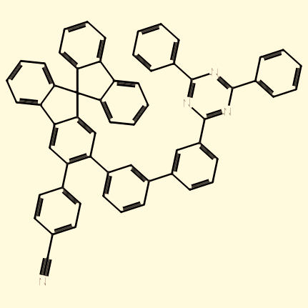 N#Cc1ccc(-c2cc3c(cc2-c2cccc(-c4cccc(-c5nc(-c6ccccc6)nc(-c6ccccc6)n5)c4)c2)C2(c4ccccc4-c4ccccc42)c2ccccc2-3)cc1